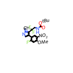 COc1cc(F)c(-c2cnn(C)c2C(F)(F)CNC(=O)OC(C)(C)C)cc1[N+](=O)[O-]